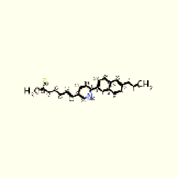 C=CCc1ccc2cc(-c3ccc(C=CCCCC(C)F)cn3)ccc2c1